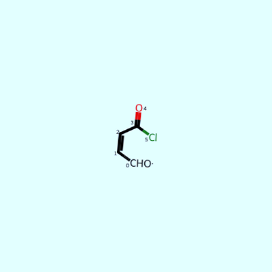 O=[C]/C=C\C(=O)Cl